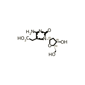 Nc1nc(=O)n([C@@H]2C[C@@H](O)[C@H](CO)O2)cc1CC(=O)O